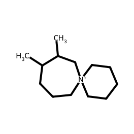 CC1CCC[N+]2(CCCCC2)CC1C